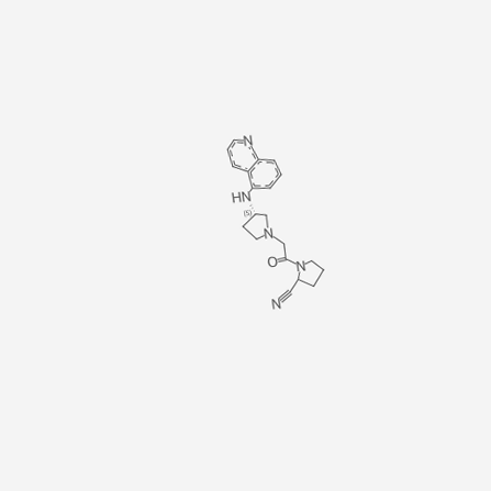 N#CC1CCCN1C(=O)CN1CC[C@H](Nc2cccc3ncccc23)C1